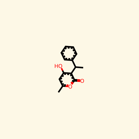 Cc1cc(O)c(C(C)c2ccccc2)c(=O)o1